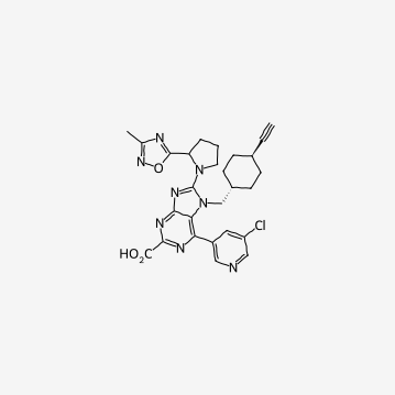 C#C[C@H]1CC[C@H](Cn2c(N3CCCC3c3nc(C)no3)nc3nc(C(=O)O)nc(-c4cncc(Cl)c4)c32)CC1